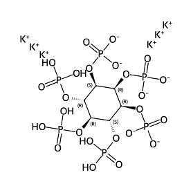 O=P([O-])([O-])O[C@H]1[C@@H](OP(=O)([O-])[O-])[C@H](OP(=O)(O)O)[C@@H](OP(=O)(O)O)[C@H](OP(=O)(O)O)[C@H]1OP(=O)([O-])[O-].[K+].[K+].[K+].[K+].[K+].[K+]